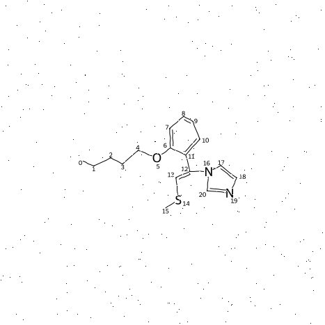 CCCCCOc1ccccc1C(=CSC)n1ccnc1